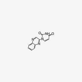 O=c1ccn(-c2cnc3ccccc3n2)c(=O)[nH]1